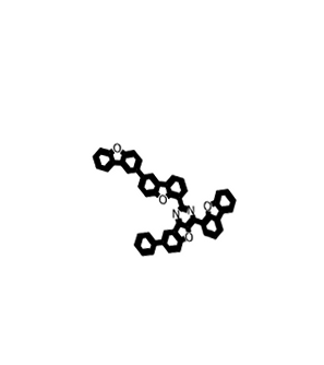 c1ccc(-c2ccc3oc4c(-c5cccc6c5oc5ccccc56)nc(-c5cccc6c5oc5ccc(-c7ccc8oc9ccccc9c8c7)cc56)nc4c3c2)cc1